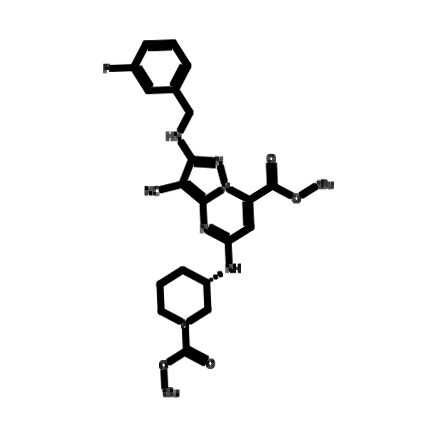 CC(C)(C)OC(=O)c1cc(N[C@H]2CCCN(C(=O)OC(C)(C)C)C2)nc2c(C#N)c(NCc3cccc(F)c3)nn12